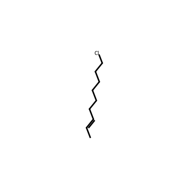 CC=CCCCCCCCl